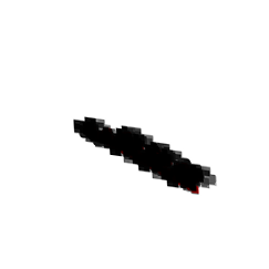 CCCN(CC(=O)NCCN(CC(=O)NCCN(CC(=O)NCCN(CC(=O)NCCN(CC(=O)NCCN(CC(=O)NCCN(CC(=O)C(C)C)C(=O)Cn1cnc2c(=O)[nH]c(N)nc21)C(=O)Cn1cnc2c(N)ncnc21)C(=O)Cn1ccc(N)nc1=O)C(=O)Cn1cnc2c(N)ncnc21)C(=O)Cn1ccc(N)nc1=O)C(=O)Cn1cnc2c(=O)[nH]c(N)nc21)C(=O)Cn1ccc(N)nc1=O